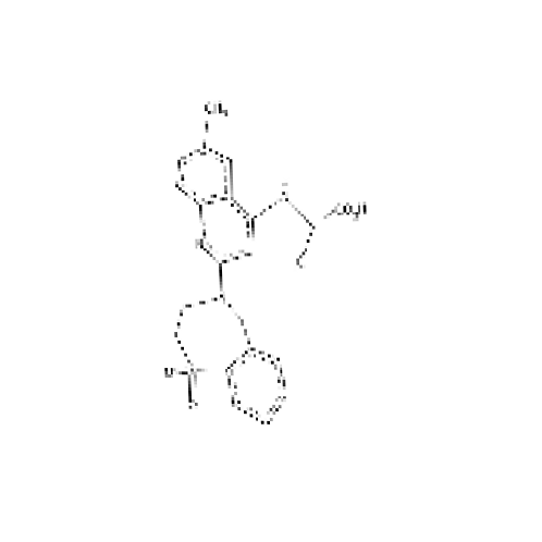 Cc1ccc2nc(N3CCS(=O)(=O)c4ccccc4C3)cc(N[C@@H](C)C(=O)O)c2c1